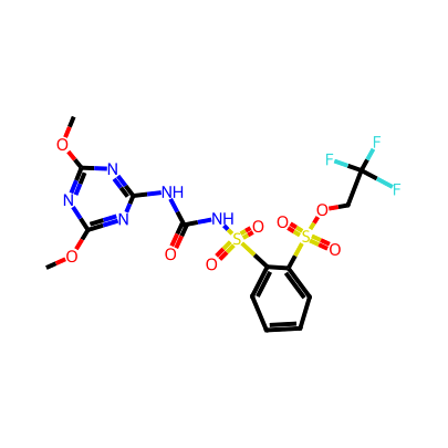 COc1nc(NC(=O)NS(=O)(=O)c2ccccc2S(=O)(=O)OCC(F)(F)F)nc(OC)n1